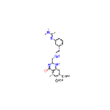 COc1cc2[nH]c(CN/C=C/c3cccc(/N=C(\C)N(C)C)c3)nc(=O)c2c(C)c1OC